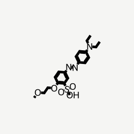 CCN(CC)c1ccc(/N=N/c2ccc(OCCOC)c(S(=O)(=O)O)c2)cc1